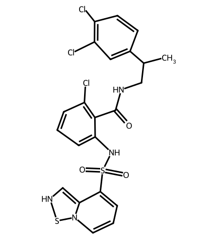 CC(CNC(=O)c1c(Cl)cccc1NS(=O)(=O)C1=CC=CN2SNC=C12)c1ccc(Cl)c(Cl)c1